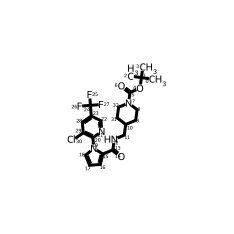 CC(C)(C)OC(=O)N1CCC(CNC(=O)c2cccn2-c2ncc(C(F)(F)F)cc2Cl)CC1